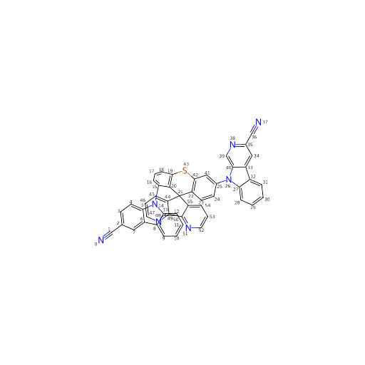 N#Cc1ccc2c(c1)c1ccccc1n2-c1cccc2c1C1(c3ccc(-n4c5ccccc5c5cc(C#N)ncc54)cc3S2)c2cccnc2-c2ncccc21